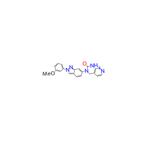 COc1cccc(-n2cc3ccc(N(Cc4ccncc4)C(N)=O)cc3n2)c1